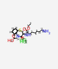 CCOC(=O)[C@@H](CCCCCCN)N[C@H]1CSc2ccccc2N(CC(=O)O)C1=O.Cl.Cl